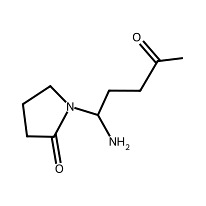 CC(=O)CCC(N)N1CCCC1=O